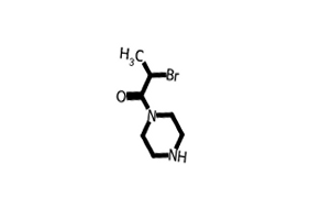 CC(Br)C(=O)N1CCNCC1